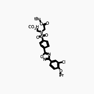 CC(C)Oc1ccc(-c2noc(-c3ccc(S(=O)(=O)N(CC(=O)O)CC(=O)OC(C)(C)C)cc3)n2)cc1Cl